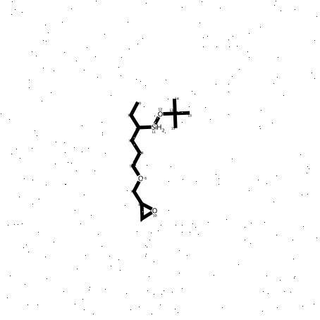 CCC(CCCOCC1CO1)[SiH2]OC(C)(C)C